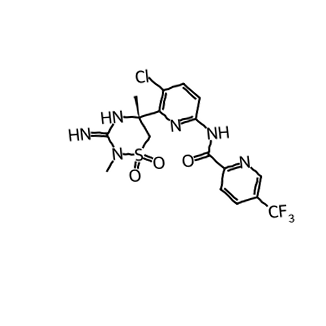 CN1C(=N)N[C@](C)(c2nc(NC(=O)c3ccc(C(F)(F)F)cn3)ccc2Cl)CS1(=O)=O